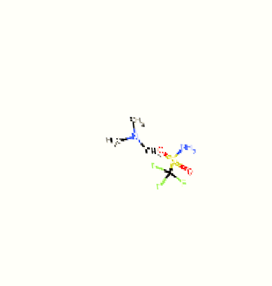 CN(C)C.NS(=O)(=O)C(F)(F)F